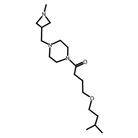 CC(C)CCOCCCC(=O)N1CCN(CC2CN(C)C2)CC1